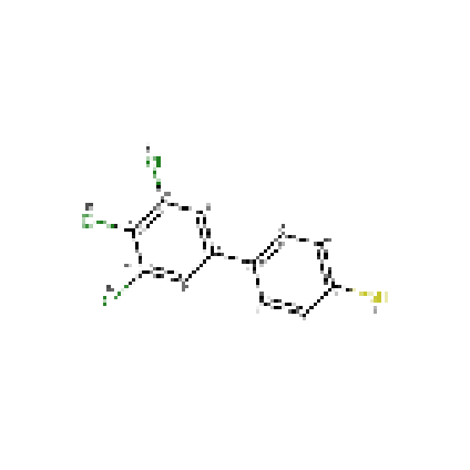 Sc1ccc(-c2cc(Cl)c(Cl)c(Cl)c2)cc1